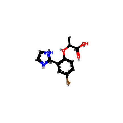 CC(Oc1ccc(Br)cc1-c1ncc[nH]1)C(=O)O